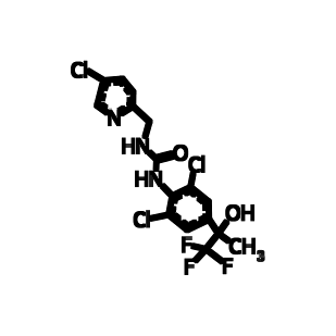 CC(O)(c1cc(Cl)c(NC(=O)NCc2ccc(Cl)cn2)c(Cl)c1)C(F)(F)F